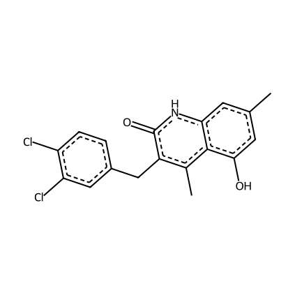 Cc1cc(O)c2c(C)c(Cc3ccc(Cl)c(Cl)c3)c(=O)[nH]c2c1